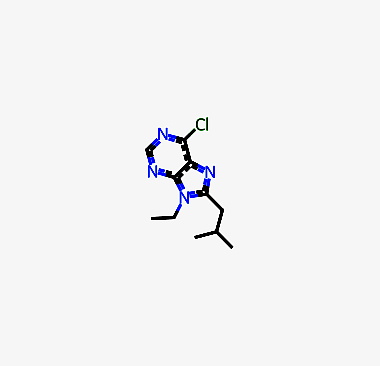 CCn1c(CC(C)C)nc2c(Cl)ncnc21